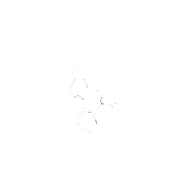 COC(=S)c1ccccc1-c1ccc(OC)cc1